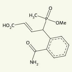 COP(C)(=O)C(C=CC(=O)O)c1ccccc1C(N)=O